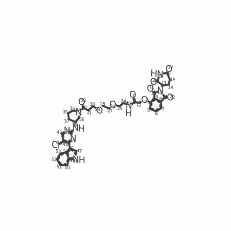 O=C(COc1cccc2c1C(=O)N(C1CCC(=O)NC1=O)C2=O)NCCOCCOCCC(=O)N1CCC[C@@H](Nc2ncc(Cl)c(-c3c[nH]c4ccccc34)n2)C1